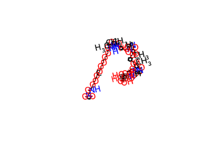 COc1cc2c(cc1OCc1cccc(COc3cc4c(cc3OC)C(=O)N3CCC[C@H]3[C@H](O)N4C(=O)OCc3ccc(O[C@@H]4O[C@H](C(=O)O)[C@@H](O)[C@H](O)[C@H]4O)c([N+](=O)[O-])c3)c1)N(C(=O)OCc1ccc(NC(=O)[C@H](C)NC(=O)[C@@H](NC(=O)CCOCCOCCOCCOCCOCCOCCOCCOCCNC(=O)CCN3C(=O)C=CC3=O)C(C)C)cc1)[C@@H](O)[C@@H]1CCCN1C2=O